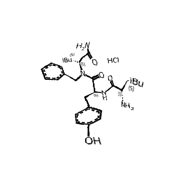 CC[C@H](C)[C@H](N)C(=O)N[C@@H](Cc1ccc(O)cc1)C(=O)N(Cc1ccccc1)[C@H](C(N)=O)[C@@H](C)CC.Cl